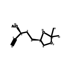 C#C[C@H](CC[C@@H]1COC(C)(C)O1)OC(C)=O